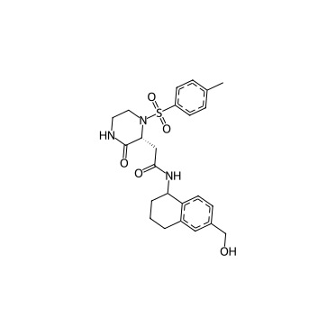 Cc1ccc(S(=O)(=O)N2CCNC(=O)[C@H]2CC(=O)NC2CCCc3cc(CO)ccc32)cc1